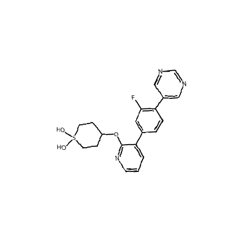 OS1(O)CCC(Oc2ncccc2-c2ccc(-c3cncnc3)c(F)c2)CC1